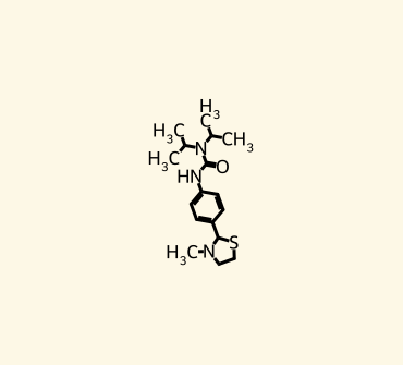 CC(C)N(C(=O)Nc1ccc(C2SCCN2C)cc1)C(C)C